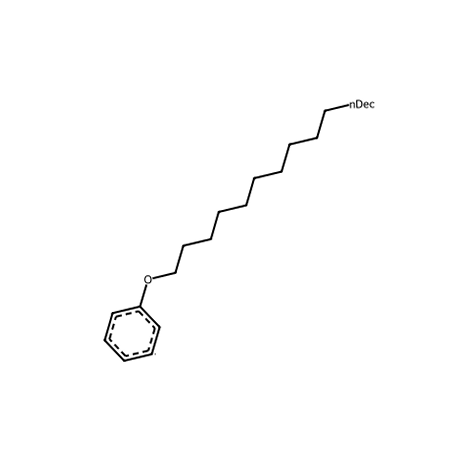 CCCCCCCCCCCCCCCCCCCCOc1c[c]ccc1